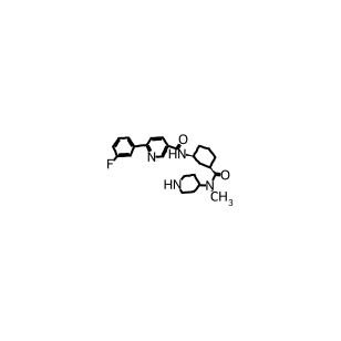 CN(C(=O)[C@@H]1CCC[C@H](NC(=O)c2ccc(-c3cccc(F)c3)nc2)C1)C1CCNCC1